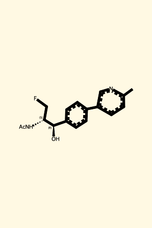 CC(=O)N[C@H](CF)[C@H](O)c1ccc(-c2ccc(C)nc2)cc1